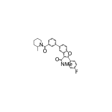 CNC(=O)c1c(-c2ccc(F)cc2)oc2ccc(-c3cccc(C(=O)N4CCCCC4C)c3)cc12